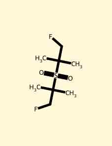 CC(C)(CF)S(=O)(=O)C(C)(C)CF